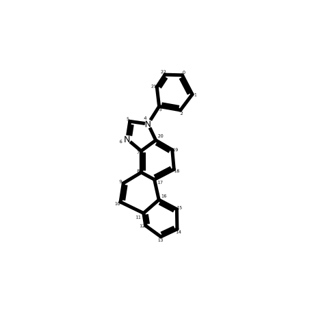 c1ccc(-n2cnc3c4ccc5ccccc5c4ccc32)cc1